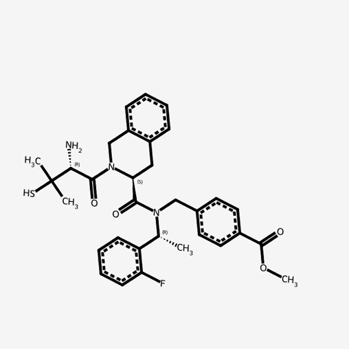 COC(=O)c1ccc(CN(C(=O)[C@@H]2Cc3ccccc3CN2C(=O)[C@@H](N)C(C)(C)S)[C@H](C)c2ccccc2F)cc1